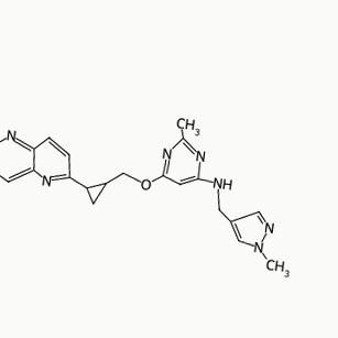 Cc1nc(NCc2cnn(C)c2)cc(OCC2CC2c2ccc3ncccc3n2)n1